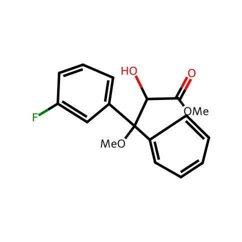 COC(=O)C(O)C(OC)(c1ccccc1)c1cccc(F)c1